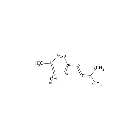 Cc1ccc(/C=C/C(C)C)cc1O